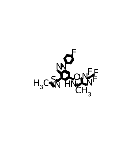 Cc1cnc(-c2cc(C(=O)N[C@H](C)c3cnc(C(F)(F)F)nc3)cc3c2cnn3-c2ccc(F)cc2)s1